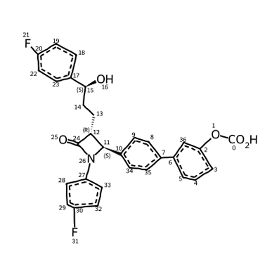 O=C(O)Oc1cccc(-c2ccc([C@@H]3[C@@H](CC[C@H](O)c4ccc(F)cc4)C(=O)N3c3ccc(F)cc3)cc2)c1